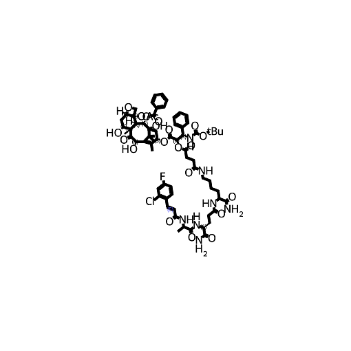 CC(=O)O[C@@]12CO[C@@H]1C[C@H](O)[C@@]1(C)C(=O)[C@H](O)C3=C(C)[C@@H](OC(=O)[C@H](OC(=O)CCC(=O)NCCCCC(NC(=O)CC[C@H](NC(=O)C(C)NC(=O)/C=C/c4ccc(F)cc4Cl)C(N)=O)C(N)=O)[C@H](NC(=O)OC(C)(C)C)c4ccccc4)C[C@@](O)([C@@H](OC(=O)c4ccccc4)[C@H]21)C3(C)C